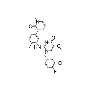 COc1cn(Cc2ccc(F)c(Cl)c2)c(Nc2cc(-c3cccn(C)c3=O)ccc2C)nc1=O